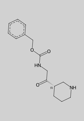 O=C(NCC(=O)[C@H]1CCCNC1)OCc1ccccc1